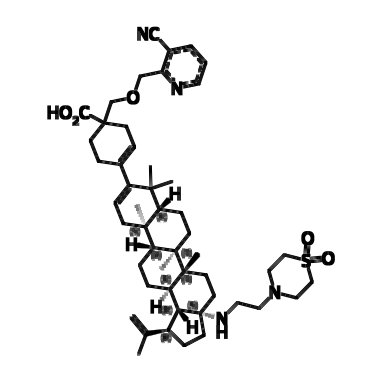 C=C(C)[C@@H]1CC[C@]2(NCCN3CCS(=O)(=O)CC3)CC[C@]3(C)[C@H](CC[C@@H]4[C@@]5(C)CC=C(C6=CCC(COCc7ncccc7C#N)(C(=O)O)CC6)C(C)(C)[C@@H]5CC[C@]43C)[C@@H]12